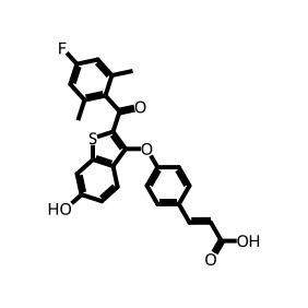 Cc1cc(F)cc(C)c1C(=O)c1sc2cc(O)ccc2c1Oc1ccc(C=CC(=O)O)cc1